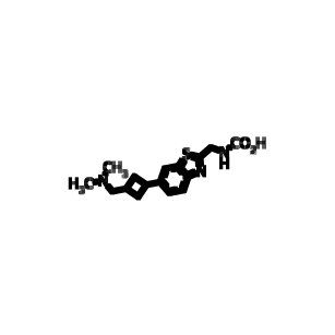 CN(C)CC1CC(c2ccc3nc(CNC(=O)O)sc3c2)C1